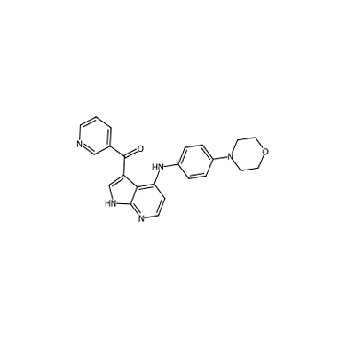 O=C(c1cccnc1)c1c[nH]c2nccc(Nc3ccc(N4CCOCC4)cc3)c12